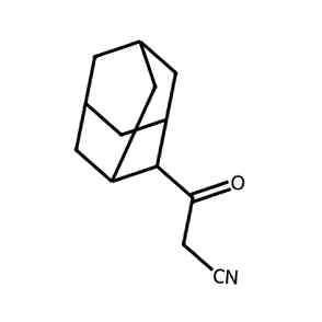 N#CCC(=O)C1C2CC3CC(C2)CC1C3